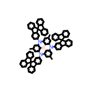 Cc1cc2c3c(c1)N(c1ccc4c(c1)C1(c5ccccc5-c5ccccc51)c1ccccc1-4)c1cc(C)cc4c1B3c1c(cc(C)cc1N4c1ccc3c(c1)C1(c4ccccc4-c4ccccc41)c1ccccc1-3)N2c1ccc2c(c1)C1(c3ccccc3-c3ccccc31)c1ccccc1-2